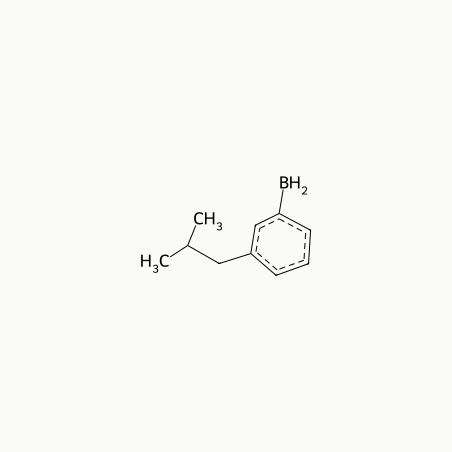 Bc1cccc(CC(C)C)c1